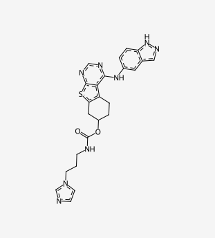 O=C(NCCCn1ccnc1)OC1CCc2c(sc3ncnc(Nc4ccc5[nH]ncc5c4)c23)C1